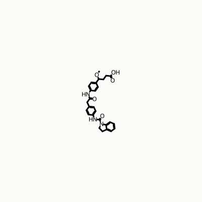 COC(CCC(=O)O)c1ccc(NC(=O)Cc2ccc(NC(=O)N3CCc4ccccc43)cc2)cc1